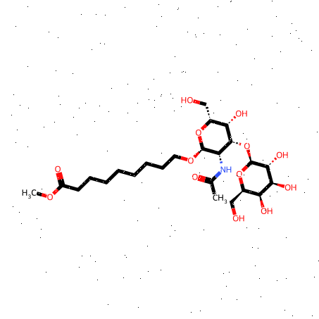 COC(=O)CCCCCCCCO[C@H]1O[C@H](CO)[C@H](O)[C@H](O[C@@H]2O[C@H](CO)[C@H](O)[C@H](O)[C@H]2O)[C@@H]1NC(C)=O